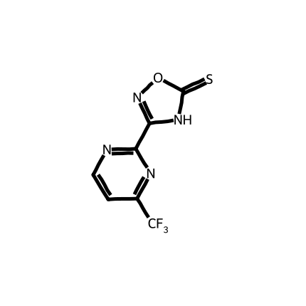 FC(F)(F)c1ccnc(-c2noc(=S)[nH]2)n1